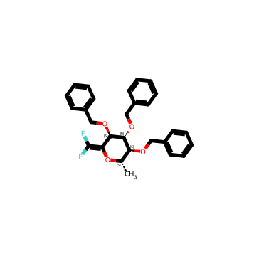 C[C@@H]1OC(=C(F)F)[C@@H](OCc2ccccc2)[C@H](OCc2ccccc2)[C@H]1OCc1ccccc1